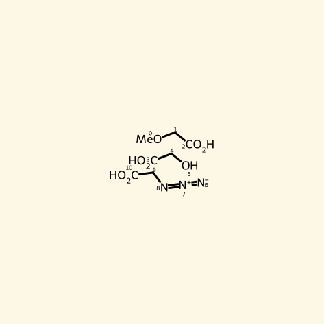 COCC(=O)O.O=C(O)CO.[N-]=[N+]=NCC(=O)O